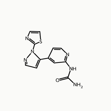 NC(=O)Nc1cc(-c2ccnn2-c2nccs2)ccn1